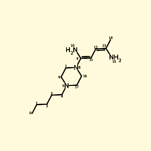 CCCCCN1CCN(/C(N)=C/C=C(/C)N)CC1